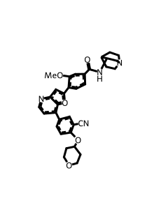 COc1cc(C(=O)NC2CN3CCC2CC3)ccc1-c1cc2nccc(-c3ccc(OC4CCOCC4)c(C#N)c3)c2o1